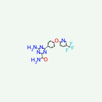 NC(=O)c1nc(N)nc(-c2ccc(Oc3ccc(C(F)(F)F)cn3)cc2)n1